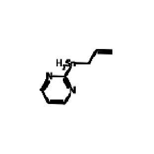 C=C[CH2][SnH2][c]1ncccn1